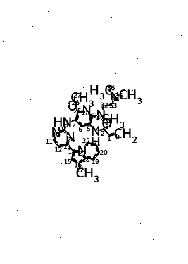 C=CC(=O)Nc1cc(Nc2nccc(-c3cc(C)c4ccccn34)n2)c(OC)nc1N(C)CCN(C)C